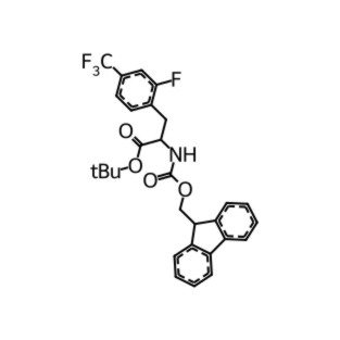 CC(C)(C)OC(=O)C(Cc1ccc(C(F)(F)F)cc1F)NC(=O)OCC1c2ccccc2-c2ccccc21